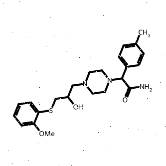 COc1ccccc1SCC(O)CN1CCN(C(C(N)=O)c2ccc(C)cc2)CC1